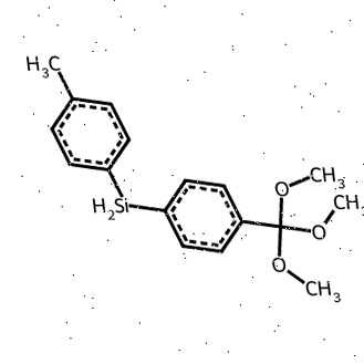 COC(OC)(OC)c1ccc([SiH2]c2ccc(C)cc2)cc1